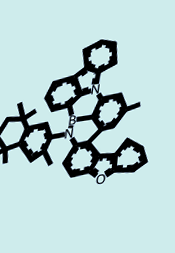 Cc1cc2c3c(c1)-n1c4ccccc4c4cccc(c41)B3N(c1cc3c(cc1C)C(C)(C)CCC3(C)C)c1ccc3oc4ccccc4c3c1-2